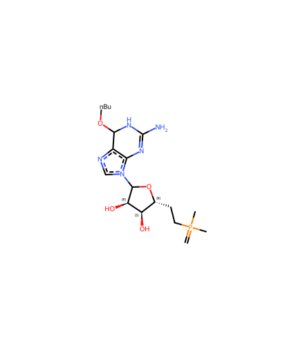 C=P(C)(C)CC[C@H]1OC(n2cnc3c2N=C(N)NC3OCCCC)[C@H](O)[C@@H]1O